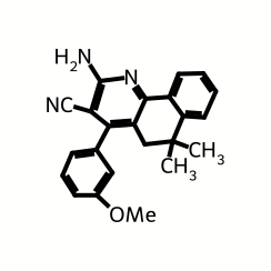 COc1cccc(-c2c(C#N)c(N)nc3c2CC(C)(C)c2ccccc2-3)c1